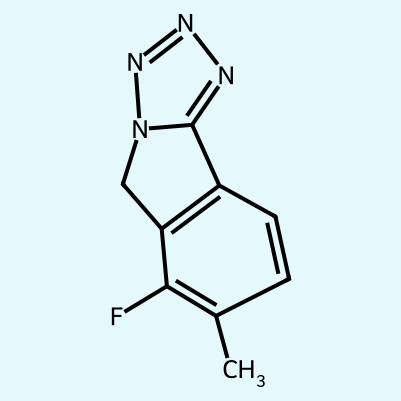 Cc1ccc2c(c1F)Cn1nnnc1-2